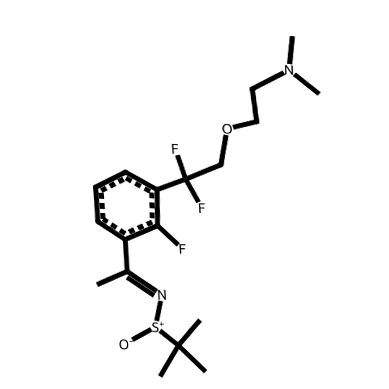 CC(=N[S+]([O-])C(C)(C)C)c1cccc(C(F)(F)COCCN(C)C)c1F